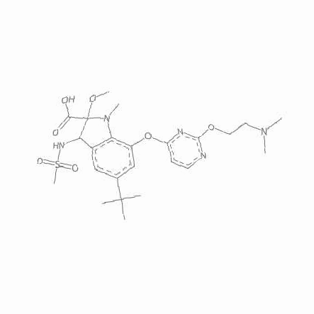 COC1(C(=O)O)C(NS(C)(=O)=O)c2cc(C(C)(C)C)cc(Oc3ccnc(OCCN(C)C)n3)c2N1C